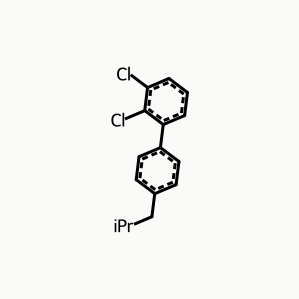 [CH2]C(C)Cc1ccc(-c2cccc(Cl)c2Cl)cc1